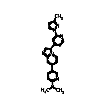 Cc1ccn(-c2cc(-c3cnc4cc(-c5ccc(N(C)C)nc5)ccn34)ccn2)n1